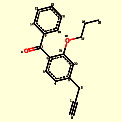 C#CCc1ccc(C(=O)c2ccccc2)c(OCCC)c1